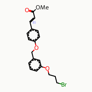 COC(=O)/C=C/c1ccc(OCc2cccc(OCCCBr)c2)cc1